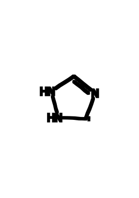 [C]1N=CNN1